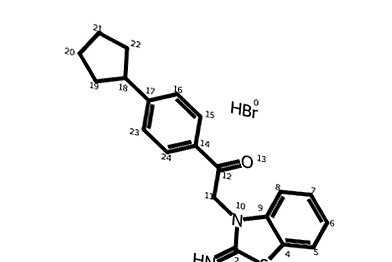 Br.N=c1sc2ccccc2n1CC(=O)c1ccc(C2CCCC2)cc1